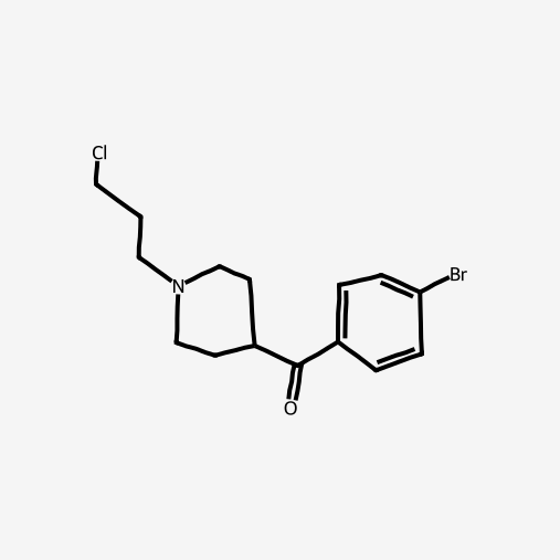 O=C(c1ccc(Br)cc1)C1CCN(CCCCl)CC1